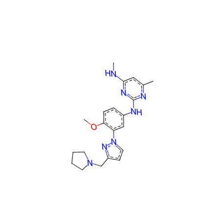 CNc1cc(C)nc(Nc2ccc(OC)c(-n3ccc(CN4CCCC4)n3)c2)n1